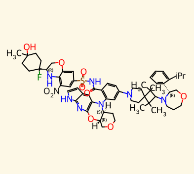 CC(C)c1ccccc1[C@@H]1COCCCN1C1C(C)(C)C2(CCN(c3ccc(C(=O)NS(=O)(=O)c4cc5c(c([N+](=O)[O-])c4)N[C@@H](C4(F)CCC(C)(O)CC4)CO5)c(N4c5cc6cc[nH]c6nc5O[C@H]5COCC[C@@H]54)c3)CC2)C1(C)C